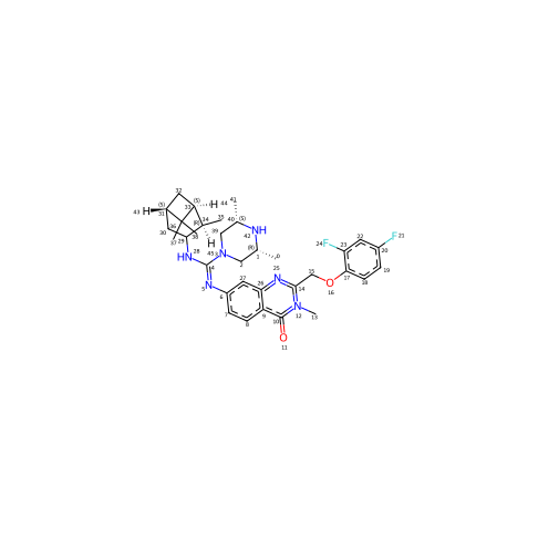 C[C@@H]1CN(C(=Nc2ccc3c(=O)n(C)c(COc4ccc(F)cc4F)nc3c2)NC2C[C@@H]3C[C@@H]([C@H]2C)C3(C)C)C[C@H](C)N1